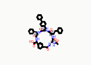 CC(=O)N[C@H]1CNC(=O)c2ccc(cc2)C(C(=O)O)NC(=O)[C@@H](Cc2ccccc2)NC(=O)[C@H](Cc2ccc(-c3ccccc3)cc2)NC(=O)[C@@H](CCc2ccccc2)NC1=O